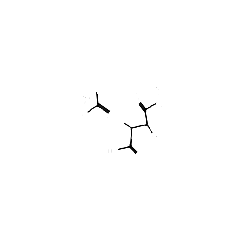 O=C(O)C(O)C(O)C(=O)O.O=C([O-])[O-].[Na+].[Na+]